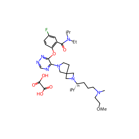 CCN(C(=O)c1cc(F)ccc1Oc1nncnc1N1CCC2(C1)CN([C@H](CCCN(C)CCOC)C(C)C)C2)C(C)C.O=C(O)C(=O)O